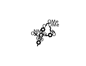 CNC(=O)C(C)(C)C[C@@H]1C[C@H](c2ccc(OCCCOC)cc2)[C@@H](OCc2ccc3c(c2)N(CCCOC)CCO3)CN1S(=O)(=O)c1ccc(C)cc1